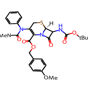 CNC(=O)N(C1=C(C(=O)OCc2ccc(OC)cc2)N2C(=O)C(NC(=O)OC(C)(C)C)[C@@H]2SC1)c1ccccc1